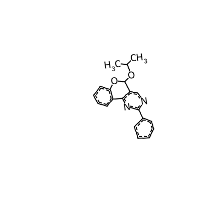 CC(C)OC1Oc2ccccc2-c2nc(-c3ccccc3)ncc21